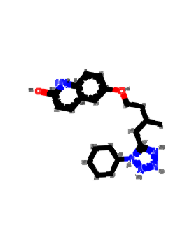 CC(CCOc1ccc2[nH]c(=O)ccc2c1)Cc1nnnn1C1CCCCC1